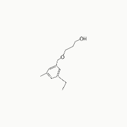 CCc1cc(C)cc(COCCCO)c1